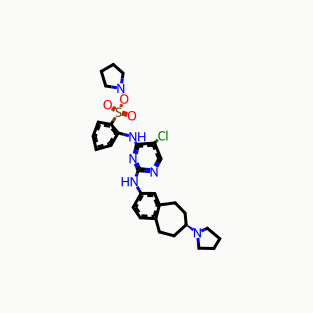 O=S(=O)(ON1CCCC1)c1ccccc1Nc1nc(Nc2ccc3c(c2)CC[C@@H](N2CCCC2)CC3)ncc1Cl